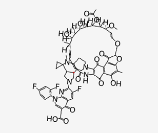 CO[C@H]1/C=C/O[C@@]2(C)Oc3c(C)c(O)c4c(c3C2=O)C(=O)C(N2CCC(N(C)C3(C5CCN(c6nc7c(cc6F)c(=O)c(C(=O)O)cn7-c6ccc(F)cc6F)C5)CC3)CC2)=C(NC(=O)/C(C)=C\C=C\[C@H](C)[C@H](O)[C@@H](C)[C@@H](O)[C@@H](C)[C@H](OC(C)=O)[C@@H]1C)C4=O